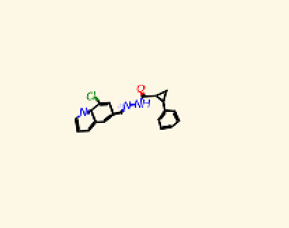 O=C(N/N=C/c1cc(Cl)c2ncccc2c1)C1CC1c1ccccc1